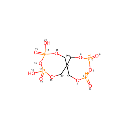 O=[PH]1OCC2(CO[PH](=O)O1)COP(=O)(O)OP(=O)(O)OC2